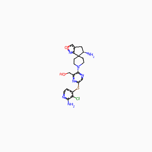 Nc1nccc(Sc2cnc(N3CCC4(CC3)c3nocc3C[C@H]4N)c(CO)n2)c1Cl